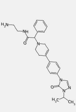 CC(C)n1ncn(-c2ccc(C3=CCN(C(C(=O)NCCN)c4ccccc4)CC3)cc2)c1=O